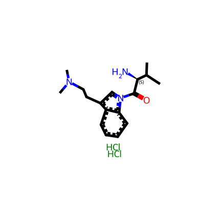 CC(C)[C@H](N)C(=O)n1cc(CCN(C)C)c2ccccc21.Cl.Cl